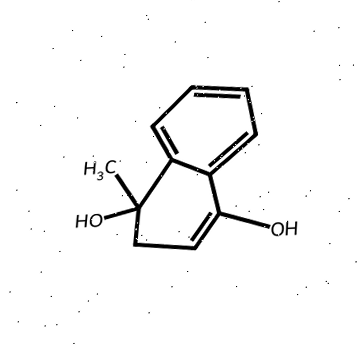 CC1(O)CC=C(O)c2ccccc21